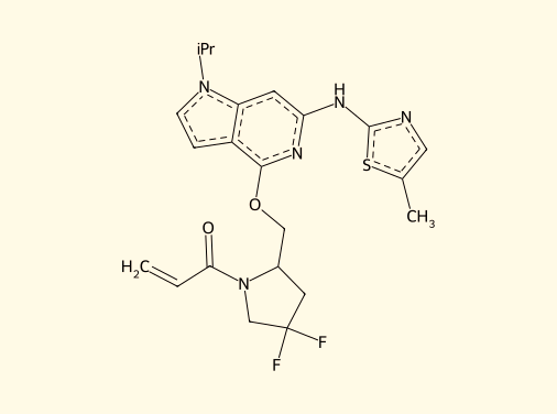 C=CC(=O)N1CC(F)(F)CC1COc1nc(Nc2ncc(C)s2)cc2c1ccn2C(C)C